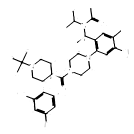 CC(=O)N(C(C)C)[C@H](C)c1cc(C)c(Cl)cc1N1CCN(C(=O)[C@@H]2CCN(C(C)(C)C)C[C@H]2c2ccc(F)cc2F)CC1